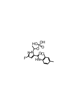 Cc1ccc(NC(=O)c2cc(F)nn2C(C)OP(=O)(O)O)c(Cl)c1